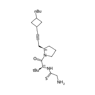 CCCCC1CC(C#CC[C@H]2CCCN2C(=O)[C@@H](NC(=S)CN)C(C)(C)C)C1